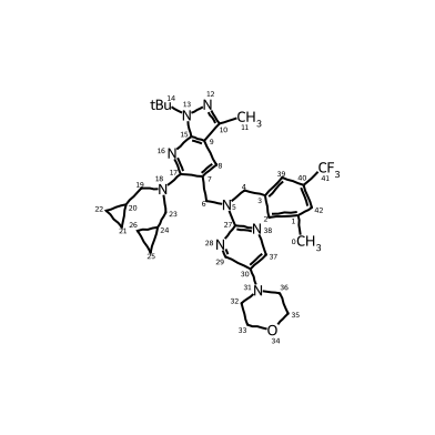 Cc1cc(CN(Cc2cc3c(C)nn(C(C)(C)C)c3nc2N(CC2CC2)CC2CC2)c2ncc(N3CCOCC3)cn2)cc(C(F)(F)F)c1